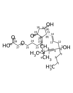 CCCCC(O)(C#C[Si](C)(C)C)CC=C[C@H]1[C@H](O)CC(=O)[C@@H]1CCCCOCC(=O)O